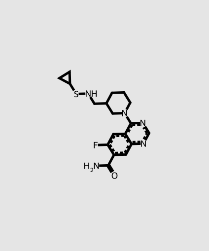 NC(=O)c1cc2ncnc(N3CCCC(CNSC4CC4)C3)c2cc1F